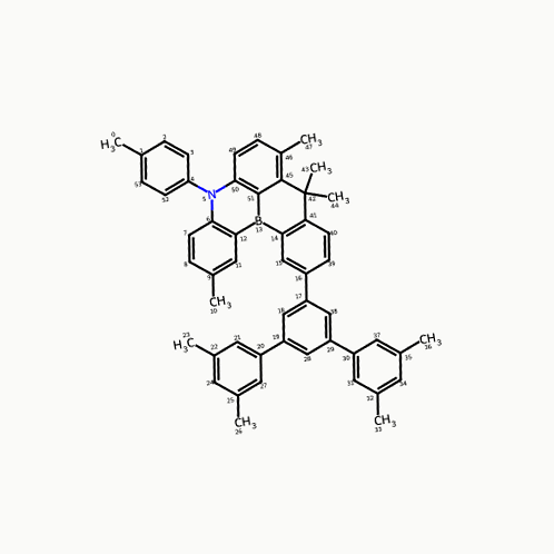 Cc1ccc(N2c3ccc(C)cc3B3c4cc(-c5cc(-c6cc(C)cc(C)c6)cc(-c6cc(C)cc(C)c6)c5)ccc4C(C)(C)c4c(C)ccc2c43)cc1